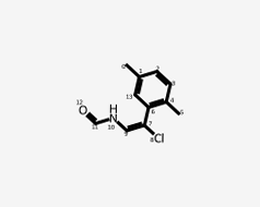 Cc1ccc(C)c(/C(Cl)=C\NC=O)c1